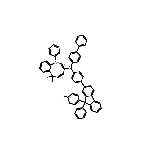 CC1C=CC(C2(c3ccccc3)c3ccccc3-c3ccc(-c4ccc(N(C5=C/N(c6ccccc6)c6ccccc6C(C)(C)/C=C\5)c5ccc(-c6ccccc6)cc5)cc4)cc32)=CC1